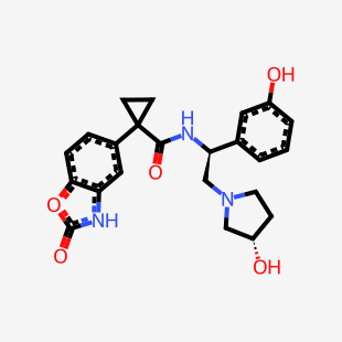 O=C(N[C@H](CN1CC[C@H](O)C1)c1cccc(O)c1)C1(c2ccc3oc(=O)[nH]c3c2)CC1